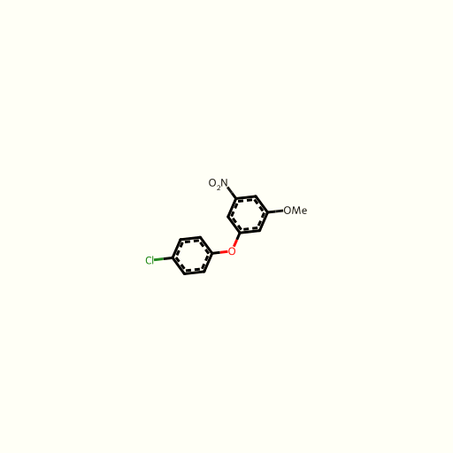 COc1cc(Oc2ccc(Cl)cc2)cc([N+](=O)[O-])c1